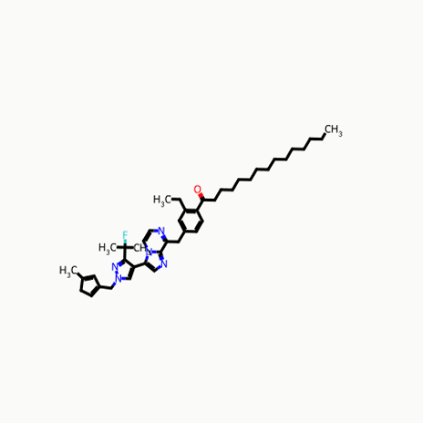 CCCCCCCCCCCCCCC(=O)c1ccc(Cc2nccn3c(-c4cn(CC5=CCC(C)=C5)nc4C(C)(C)F)cnc23)cc1CC